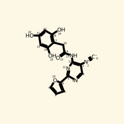 [C-]#[N+]c1cnc(-c2ccco2)nc1NC(=O)Cc1c(O)cc(O)cc1O